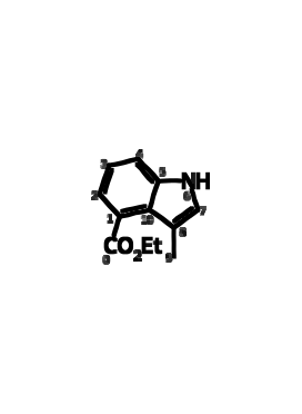 CCOC(=O)c1cccc2[nH]cc(C)c12